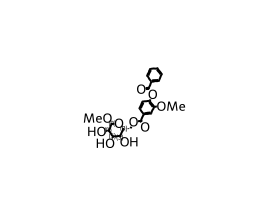 COc1cc(C(=O)OC[C@H]2O[C@@H](OC)[C@H](O)[C@@H](O)[C@@H]2O)ccc1OC(=O)c1ccccc1